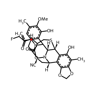 C=CCN1C2c3c(cc(C)c(OC)c3O)CC1[C@H](C#N)N1[C@H]2[C@@H]2SCC(NC(=O)CF)C(=O)OC[C@H]1c1c3c(c(C)c(O)c12)OCO3